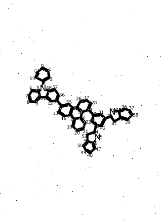 c1ccc(-n2c3ccccc3c3cc(-c4ccc(-c5ccccc5-c5ccccc5-c5cc(C6=Nc7ccccc7C6)cc(C6=Nc7ccccc7C6)c5)cc4)ccc32)cc1